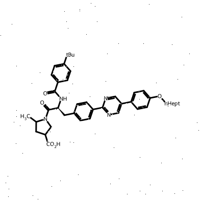 CCCCCCCOc1ccc(-c2cnc(-c3ccc(C[C@H](NC(=O)c4ccc(C(C)(C)C)cc4)C(=O)N4CC(C(=O)O)CC4C)cc3)nc2)cc1